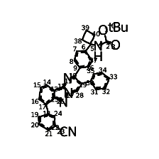 CC(C)(C)OC(=O)NC1(c2ccc(-c3nc4c5cccc(-c6cccc(C#N)c6)c5nn4cc3-c3ccccc3)cc2)CCC1